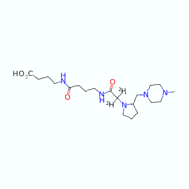 [2H]C([2H])(C(=O)NCCCC(=O)NCCCC(=O)O)N1CCCC1CN1CCN(C)CC1